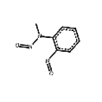 CN(N=O)c1ccccc1N=O